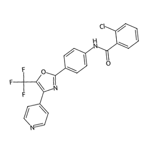 O=C(Nc1ccc(-c2nc(-c3ccncc3)c(C(F)(F)F)o2)cc1)c1ccccc1Cl